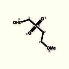 COCCS(=O)(=O)CC=O